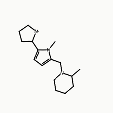 CC1CCCCN1Cc1ccc(C2CCC[N]2)n1C